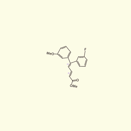 COC(=O)/C=C/C=C(\c1cccc(F)c1)c1cccc(OC)c1